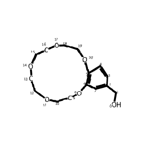 OCc1ccc2c(c1)OCCOCCOCCOCCO2